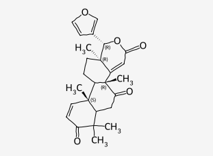 CC1(C)C(=O)C=C[C@@]2(C)C1CC(=O)[C@@]1(C)C3=CC(=O)O[C@@H](c4ccoc4)[C@]3(C)CCC12